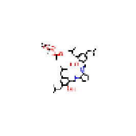 CC(=O)[O-].CC(=O)[O-].CC(C)Cc1cc(C=NC2CCCC2N=Cc2cc(CC(C)C)cc(CC(C)C)c2O)c(O)c(CC(C)C)c1.[Co+2]